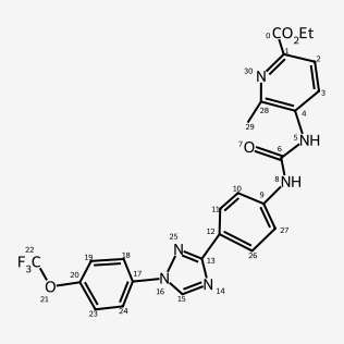 CCOC(=O)c1ccc(NC(=O)Nc2ccc(-c3ncn(-c4ccc(OC(F)(F)F)cc4)n3)cc2)c(C)n1